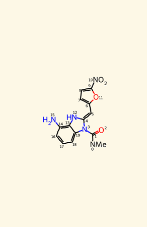 CNC(=O)N1C(=Cc2ccc([N+](=O)[O-])o2)Nc2c(N)cccc21